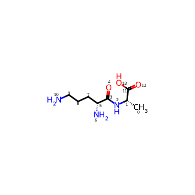 C[C@H](NC(=O)[C@H](N)CCCN)C(=O)O